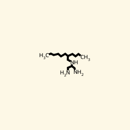 CCCCCCC(CCCC)CNC(CN)CN